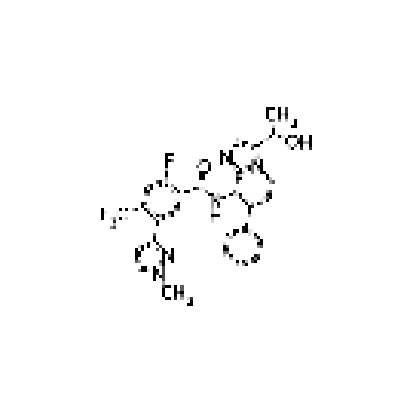 CC(O)c1cnc2c(NC(=O)c3cc(-c4ccn(C)n4)c(C(F)(F)F)cc3F)c(-c3ccccc3)ccn12